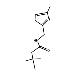 Cc1csc(CNC(=O)CC(C)(C)C)n1